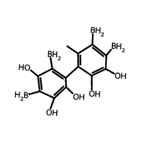 Bc1c(B)c(O)c(O)c(-c2c(B)c(O)c(B)c(O)c2O)c1C